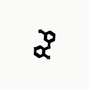 Clc1cccc(Oc2cnccc2Cl)c1